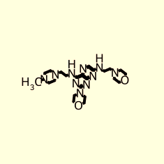 CN1CCN(CCNc2nc(N3CCOCC3)nc3nc(NCCN4CCOCC4)cnc23)CC1